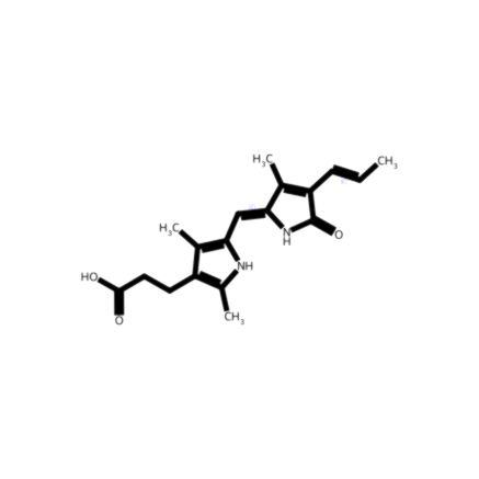 C/C=C/C1=C(C)C(=C/c2[nH]c(C)c(CCC(=O)O)c2C)/NC1=O